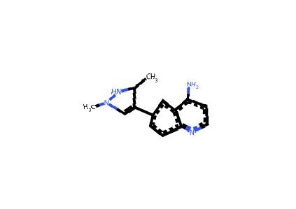 CC1NN(C)C=C1c1ccc2nccc(N)c2c1